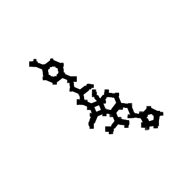 O=C(CNc1ccc(O)cc1)NC1C(=O)N2C(C(=O)O)=C(CSc3cnn[nH]3)CS[C@@H]12